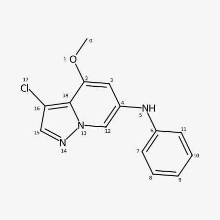 COc1cc(Nc2ccccc2)cn2ncc(Cl)c12